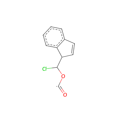 O=[C]OC(Cl)C1C=Cc2ccccc21